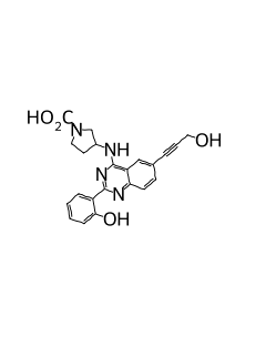 O=C(O)N1CCC(Nc2nc(-c3ccccc3O)nc3ccc(C#CCO)cc23)C1